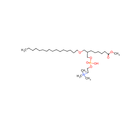 CCCCCCCCCCCCCCCCOCC(CCCCCC(=O)OC)COP(=O)(O)OCC[N+](C)(C)C